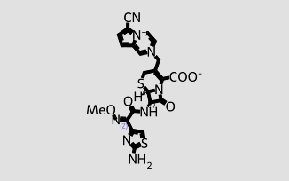 CO/N=C(\C(=O)N[C@@H]1C(=O)N2C(C(=O)[O-])=C(Cn3cc[n+]4c(C#N)ccc-4c3)CS[C@H]12)c1csc(N)n1